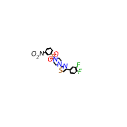 O=[N+]([O-])c1cccc(S(=O)(=O)N2CCN(c3nc(-c4ccc(F)c(F)c4)cs3)CC2)c1